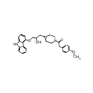 COc1ccc(CC(=O)N2CCN(CC(O)COc3cccc4[nH]c5ccccc5c34)CC2)cc1